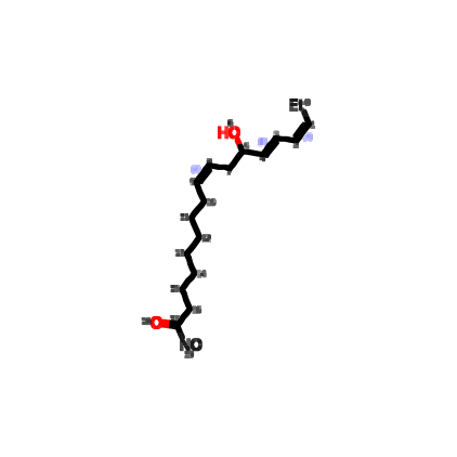 CC/C=C\C=C\C(O)C/C=C\CCCCCCCC(=O)N=O